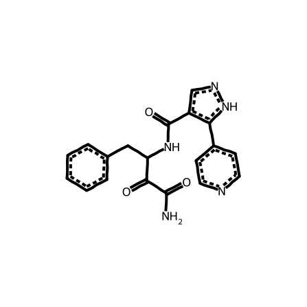 NC(=O)C(=O)C(Cc1ccccc1)NC(=O)c1cn[nH]c1-c1ccncc1